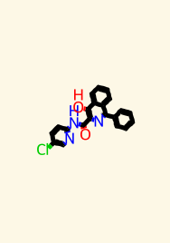 O=C(Nc1ccc(Cl)cn1)c1nc(-c2ccccc2)c2ccccc2c1O